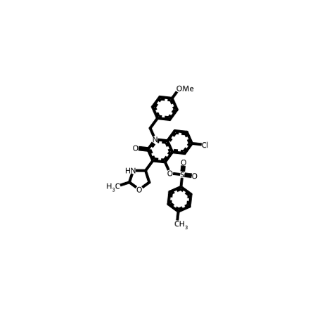 COc1ccc(Cn2c(=O)c(C3COC(C)N3)c(OS(=O)(=O)c3ccc(C)cc3)c3cc(Cl)ccc32)cc1